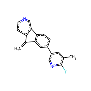 C=C1c2cc(-c3cnc(F)c(C)c3)ccc2-c2cnccc21